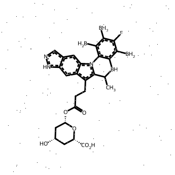 Bc1c(B)c2c(c(B)c1F)BC(C)c1c(CCC(=O)O[C@H]3C[C@@H](O)C[C@@H](C(=O)O)O3)c3cc4[nH]ncc4cc3n1-2